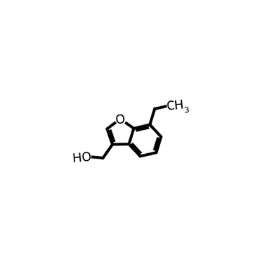 CCc1cccc2c(CO)coc12